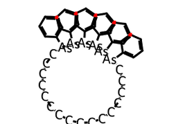 c1ccc([As]2CCCCCCCCCCCCCCCC[As](c3ccccc3)[As](c3ccccc3)[As](c3ccccc3)[As](c3ccccc3)[As]2c2ccccc2)cc1